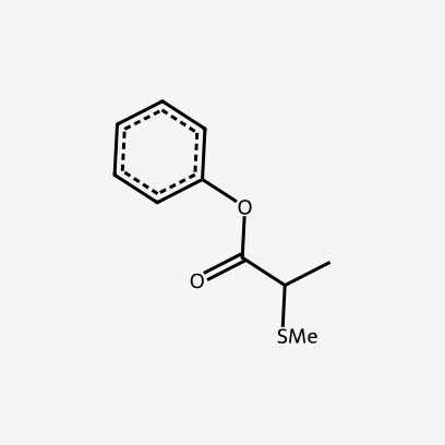 CSC(C)C(=O)Oc1ccccc1